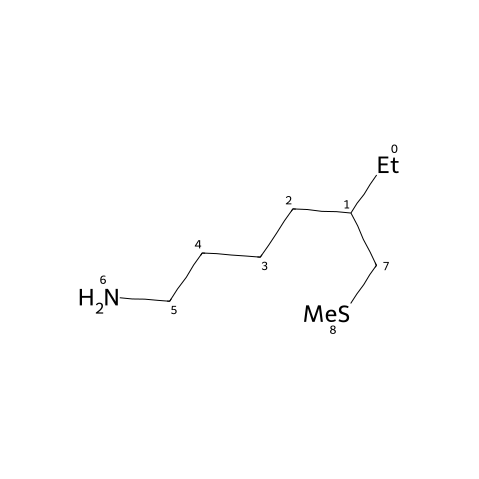 CCC(CCCCN)CSC